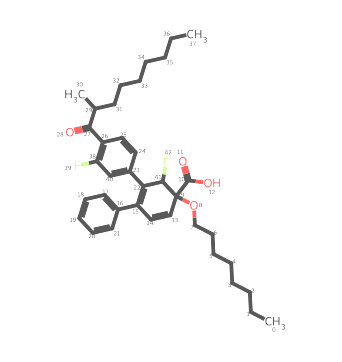 CCCCCCCCOC1(C(=O)O)C=CC(c2ccccc2)=C(c2ccc(C(=O)C(C)CCCCCCC)c(F)c2)C1F